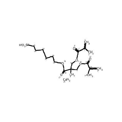 C=C(C)C(=O)OCC(C)(COC(=O)C(=C)C)C(=O)OCCCCCCS(=O)(=O)O.[CaH2]